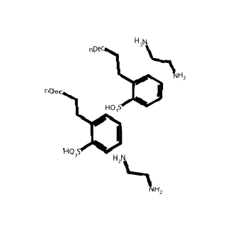 CCCCCCCCCCCCc1ccccc1S(=O)(=O)O.CCCCCCCCCCCCc1ccccc1S(=O)(=O)O.NCCN.NCCN